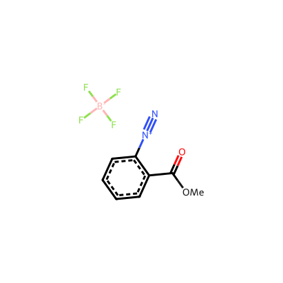 COC(=O)c1ccccc1[N+]#N.F[B-](F)(F)F